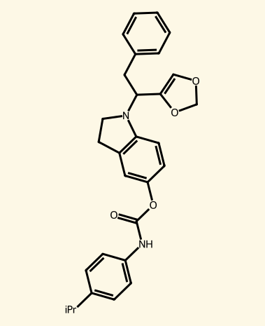 CC(C)c1ccc(NC(=O)Oc2ccc3c(c2)CCN3C(Cc2ccccc2)C2=COCO2)cc1